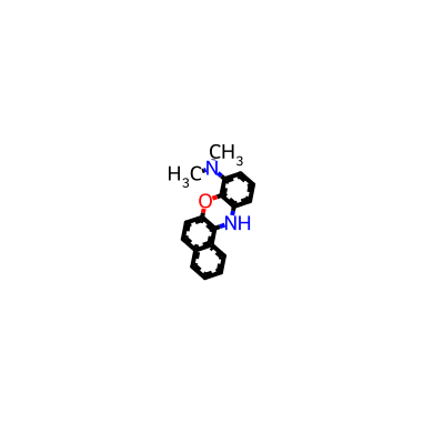 CN(C)c1cccc2c1Oc1ccc3ccccc3c1N2